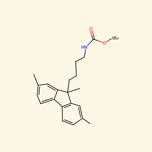 Cc1ccc2c(c1)C(C)(CCCCNC(=O)OC(C)(C)C)c1cc(C)ccc1-2